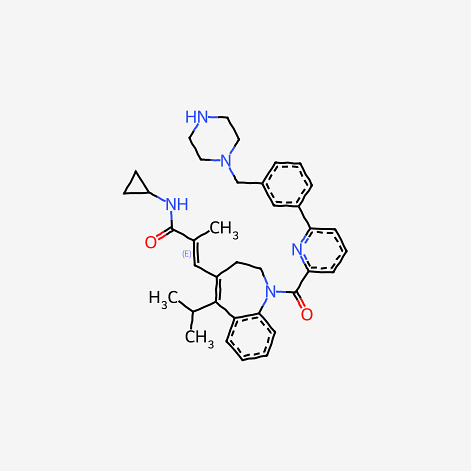 C/C(=C\C1=C(C(C)C)c2ccccc2N(C(=O)c2cccc(-c3cccc(CN4CCNCC4)c3)n2)CC1)C(=O)NC1CC1